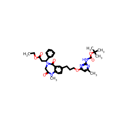 CCOC(=O)CC(c1ccccc1)N1CC(=O)N(C)c2ccc(CCCOc3cc(C)nc(NC(=O)OC(C)(C)C)n3)cc2C1=O